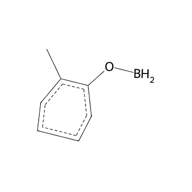 BOc1ccccc1C